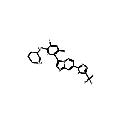 Fc1cc(F)c(-c2cnc3cc(-c4nnc(C(F)(F)F)[nH]4)ccn23)nc1NC1CCCNC1